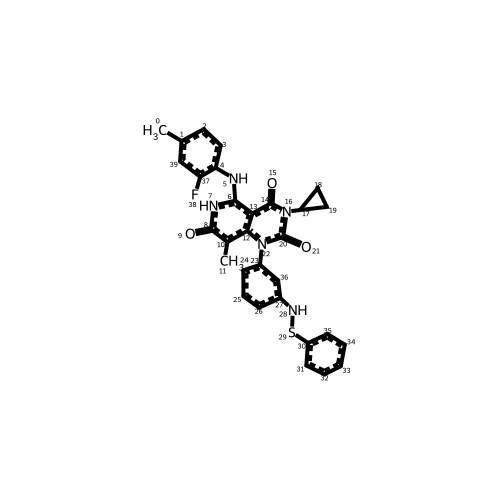 Cc1ccc(Nc2[nH]c(=O)c(C)c3c2c(=O)n(C2CC2)c(=O)n3-c2cccc(NSc3ccccc3)c2)c(F)c1